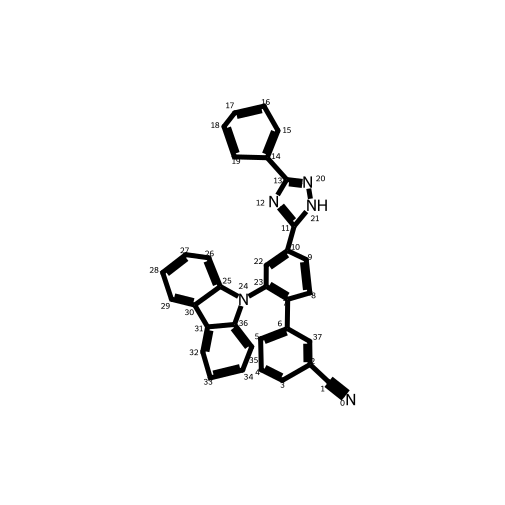 N#Cc1cccc(-c2ccc(-c3nc(-c4ccccc4)n[nH]3)cc2-n2c3ccccc3c3ccccc32)c1